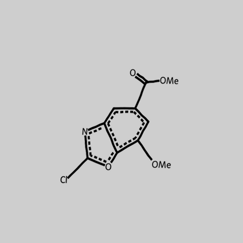 COC(=O)c1cc(OC)c2oc(Cl)nc2c1